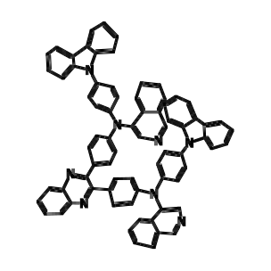 c1ccc2c(N(c3ccc(-c4nc5ccccc5nc4-c4ccc(N(c5ccc(-n6c7ccccc7c7ccccc76)cc5)c5cncc6ccccc56)cc4)cc3)c3ccc(-n4c5ccccc5c5ccccc54)cc3)cncc2c1